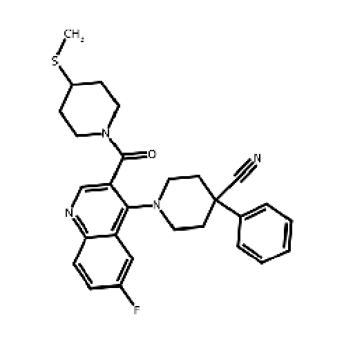 CSC1CCN(C(=O)c2cnc3ccc(F)cc3c2N2CCC(C#N)(c3ccccc3)CC2)CC1